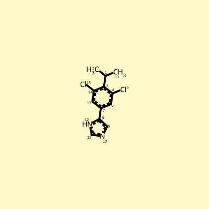 CC(C)c1c(Cl)cc(-c2cnc[nH]2)cc1Cl